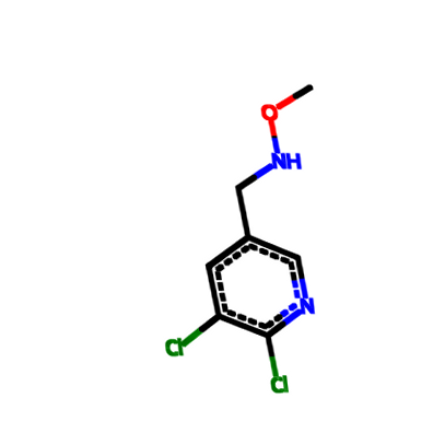 CONCc1cnc(Cl)c(Cl)c1